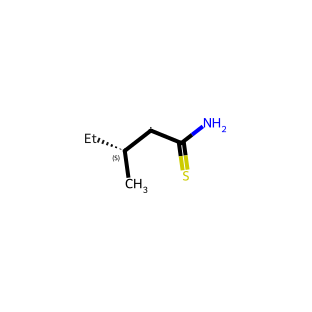 CC[C@@H](C)[CH]C(N)=S